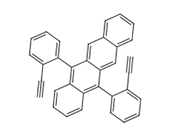 C#Cc1ccccc1-c1c2ccccc2c(-c2ccccc2C#C)c2cc3ccccc3cc12